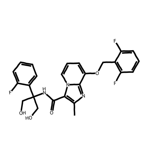 Cc1nc2c(OCc3c(F)cccc3F)cccn2c1C(=O)NC(CO)(CO)c1ccccc1F